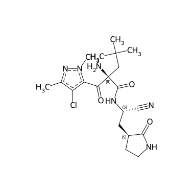 Cc1nn(C)c(C(=O)[C@](N)(CC(C)(C)C)C(=O)N[C@H](C#N)C[C@@H]2CCNC2=O)c1Cl